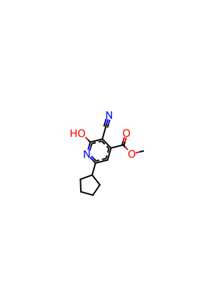 COC(=O)c1cc(C2CCCC2)nc(O)c1C#N